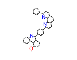 COc1cccc2c(-c3ccc(-c4ccc5ccc6ccc(-c7ccccc7)nc6c5n4)cc3)nc3ccccc3c12